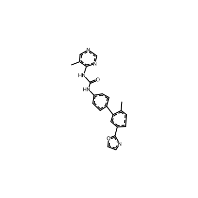 Cc1ccc(-c2ncco2)cc1-c1ccc(NC(=O)Nc2ncncc2C)cc1